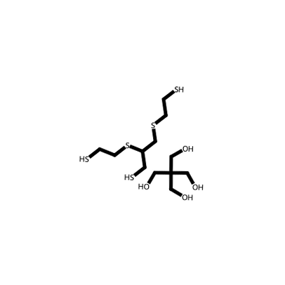 OCC(CO)(CO)CO.SCCSCC(CS)SCCS